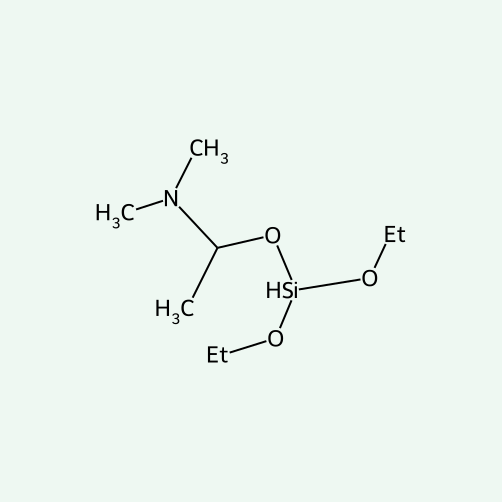 CCO[SiH](OCC)OC(C)N(C)C